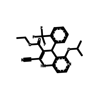 CCOC(=O)C1=C(C#N)Nc2ccnc(OC(C)C)c2C1c1ccccc1C(F)(F)F